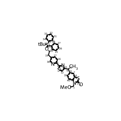 COCn1c(=O)sc2cc(C(C)c3csc(-c4ccc(CCO[Si](c5ccccc5)(c5ccccc5)C(C)(C)C)cn4)n3)ccc21